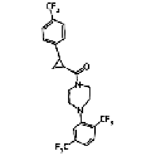 O=C([C@H]1CC1c1ccc(C(F)(F)F)cc1)N1CCN(c2cc(C(F)(F)F)ccc2C(F)(F)F)CC1